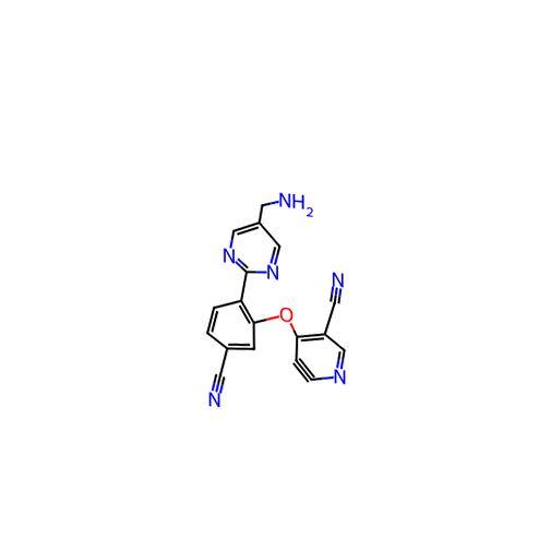 N#Cc1ccc(-c2ncc(CN)cn2)c(Oc2c#cncc2C#N)c1